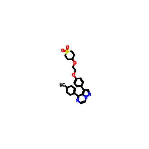 N#CC1CC=C(c2nccn3ncc(-c4ccc(OCCOC5CCS(=O)(=O)CC5)cc4)c23)CC1